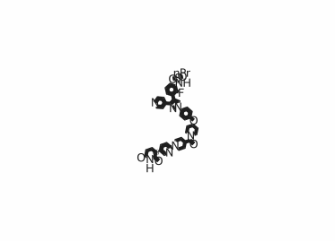 CCCS(=O)(=O)Nc1cccc(-c2cn(-c3ccc(OC4CCN(C(=O)C5CCN(c6ccc([C@H]7CCC(=O)NC7=O)cn6)CC5)CC4)cc3)nc2-c2ccncc2)c1F